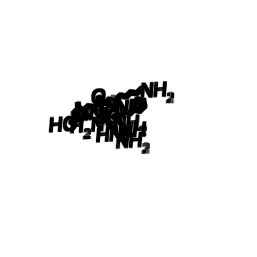 CC1=CC(O)CC(C)=C1C[C@H](NC(=O)[C@H](N)CCCNC(=N)N)C(=O)CC[C@@H](CCCCCN)C(=O)N[C@@H](Cc1ccccc1)C(N)=O